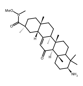 CON(C)C(=O)[C@@]1(C)CC[C@]2(C)CC[C@]3(C)C(=CC(=O)[C@@H]4[C@@]5(C)CC[C@H](N)C(C)(C)C5CC[C@]43C)[C@@H]2C1